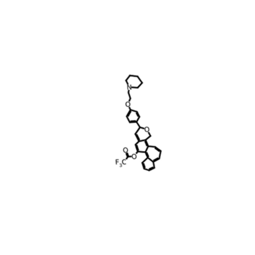 O=C(Oc1cc2c(c3c1=c1ccccc1=CC=C3)COC(c1ccc(OCCN3CCCCC3)cc1)C=2)C(F)(F)F